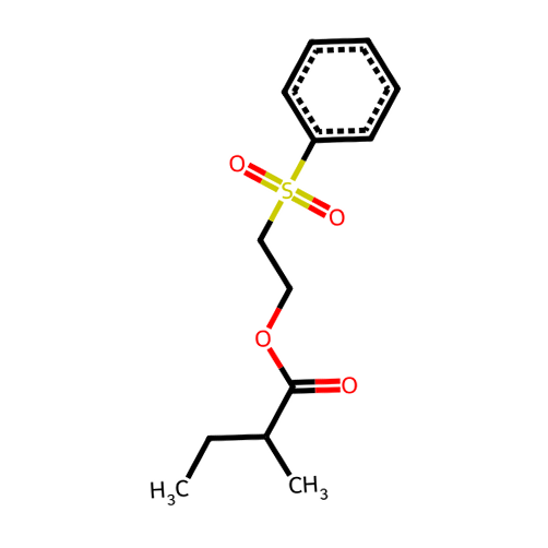 CCC(C)C(=O)OCCS(=O)(=O)c1ccccc1